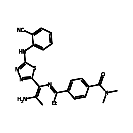 CC/C(=N\C(=C(/C)N)c1nnc(Nc2ccccc2C#N)s1)c1ccc(C(=O)N(C)C)cc1